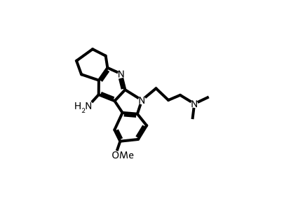 COc1ccc2c(c1)c1c(N)c3c(nc1n2CCCN(C)C)CCCC3